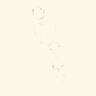 CCCOc1ccc(-c2ccc(S(=O)(=O)C(C)C)cc2)cc1C(=O)NC(CO)Cc1c[nH]c2ccc(F)cc12